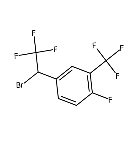 Fc1ccc(C(Br)C(F)(F)F)cc1C(F)(F)F